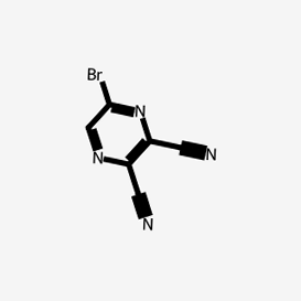 N#Cc1ncc(Br)nc1C#N